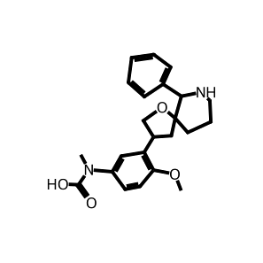 COc1ccc(N(C)C(=O)O)cc1C1COC2(CCCNC2c2ccccc2)C1